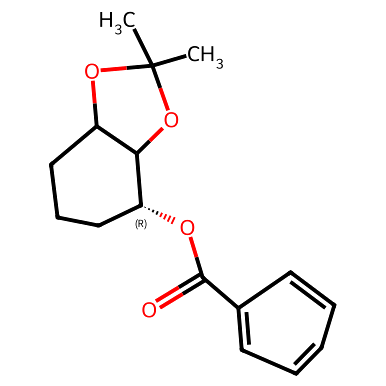 CC1(C)OC2CCC[C@@H](OC(=O)c3ccccc3)C2O1